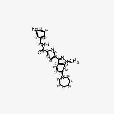 Cn1nc(-c2cnc(C(=O)NCc3cccc(F)c3)nc2)c2ccc(N3CCCCCC3)nc21